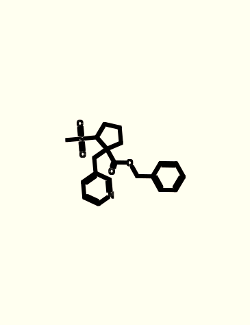 CS(=O)(=O)C1CCCC1(Cc1cccnc1)C(=O)OCc1ccccc1